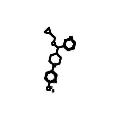 FC(F)(F)c1ccc(N2CCC(C(OCC3CC3)c3cccnc3)CC2)cn1